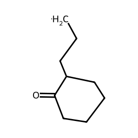 [CH2]CCC1CCCCC1=O